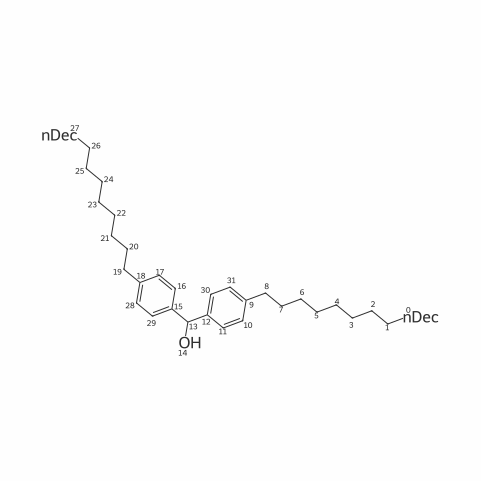 CCCCCCCCCCCCCCCCCCc1ccc(C(O)c2ccc(CCCCCCCCCCCCCCCCCC)cc2)cc1